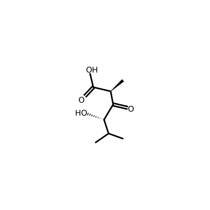 CC(C)[C@H](O)C(=O)[C@H](C)C(=O)O